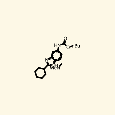 CCCCOC(=O)Nc1ccc2[nH]c(C3CCCCC3)nc2c1.CNC